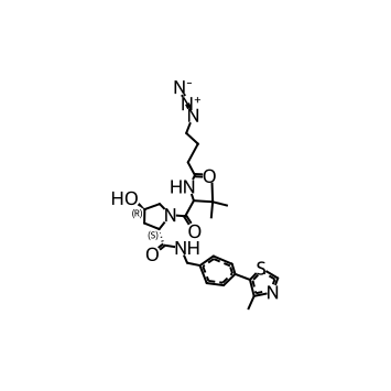 Cc1ncsc1-c1ccc(CNC(=O)[C@@H]2C[C@@H](O)CN2C(=O)C(NC(=O)CCCN=[N+]=[N-])C(C)(C)C)cc1